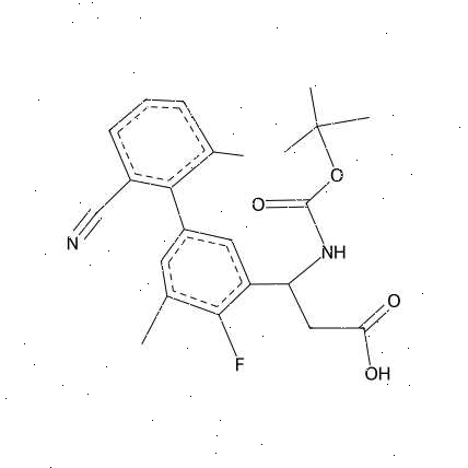 Cc1cc(-c2c(C)cccc2C#N)cc(C(CC(=O)O)NC(=O)OC(C)(C)C)c1F